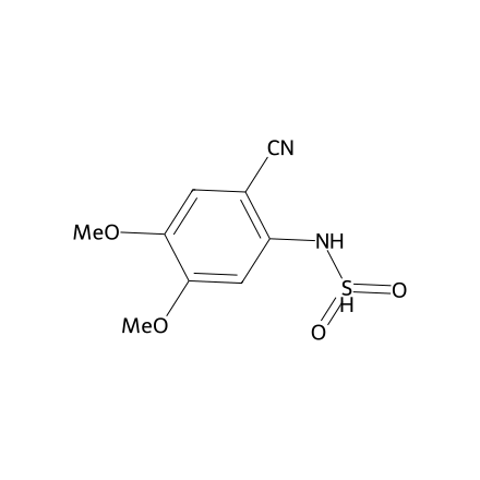 COc1cc(C#N)c(N[SH](=O)=O)cc1OC